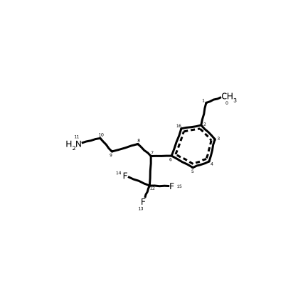 CCc1cccc(C(CCCN)C(F)(F)F)c1